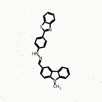 Cn1c2ccccc2c2cc(C=NNc3ccc(-c4nc5ccccc5s4)cc3)ccc21